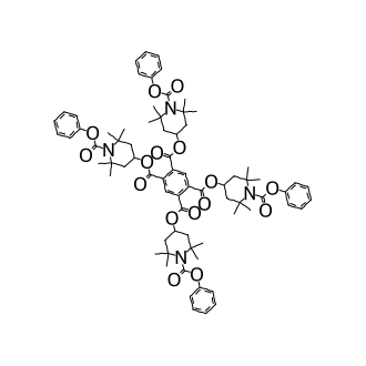 CC1(C)CC(OC(=O)c2cc(C(=O)OC3CC(C)(C)N(C(=O)Oc4ccccc4)C(C)(C)C3)c(C(=O)OC3CC(C)(C)N(C(=O)Oc4ccccc4)C(C)(C)C3)cc2C(=O)OC2CC(C)(C)N(C(=O)Oc3ccccc3)C(C)(C)C2)CC(C)(C)N1C(=O)Oc1ccccc1